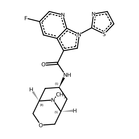 CN1[C@@H]2COC[C@H]1C[C@@H](NC(=O)c1cn(-c3nccs3)c3ncc(F)cc13)C2